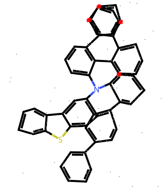 c1ccc(-c2ccc(-c3ccccc3N(c3ccc4sc5ccccc5c4c3)c3cccc(-c4ccccc4)c3-c3ccccc3-c3ccccc3)cc2)cc1